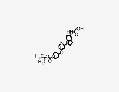 CC(C)OC(=O)N1CCC(Oc2cc(N3CCc4cc(NC(=O)CO)ccc43)ncn2)CC1